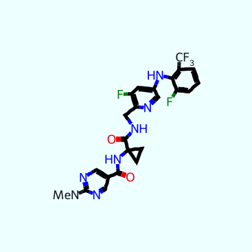 CNc1ncc(C(=O)NC2(C(=O)NCc3ncc(Nc4c(F)cccc4C(F)(F)F)cc3F)CC2)cn1